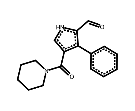 O=Cc1[nH]cc(C(=O)N2CCCCC2)c1-c1ccccc1